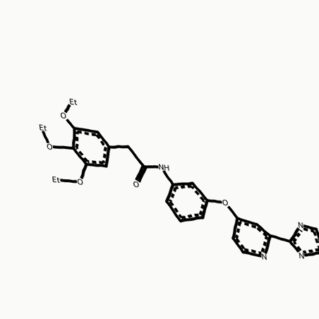 CCOc1cc(CC(=O)Nc2cccc(Oc3ccnc(-c4ncon4)c3)c2)cc(OCC)c1OCC